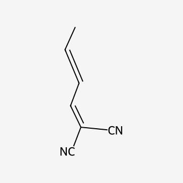 CC=CC=C(C#N)C#N